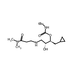 CN(C)C(=O)CCNC[C@@H](O)[C@H](CC1CC1)OC(=O)NC(C)(C)C